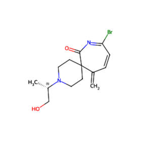 C=C1C=CC(Br)=NC(=O)C12CCN([C@@H](C)CO)CC2